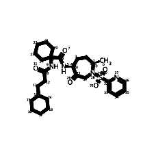 C[C@@H]1CC[C@H](NC(=O)C2(NC(=O)CCC3CCCCC3)CCCCC2)C(=O)CN1S(=O)(=O)c1ccccn1